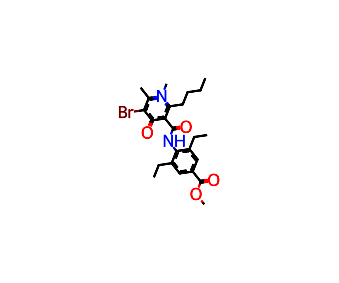 CCCCc1c(C(=O)Nc2c(CC)cc(C(=O)OC)cc2CC)c(=O)c(Br)c(C)n1C